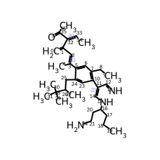 C=C(/C=C(\C)c1cc(CC)c(/C(C=N)=C/NC(CCC)CCN)cc1CC(C)C(C)(C)C)/C(=C\C)C(C)=O